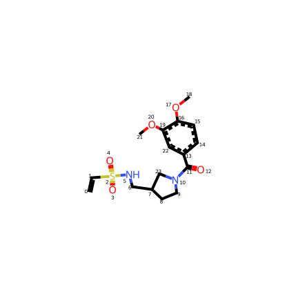 C=CS(=O)(=O)NCC1CCN(C(=O)c2ccc(OC)c(OC)c2)C1